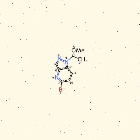 COC(C)n1ncc2nc(Br)ccc21